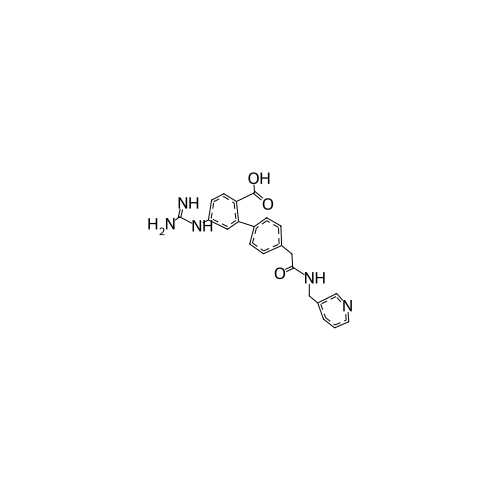 N=C(N)Nc1ccc(C(=O)O)c(-c2ccc(CC(=O)NCc3cccnc3)cc2)c1